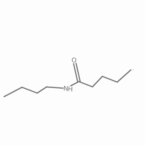 [CH2]CCCC(=O)NCCCC